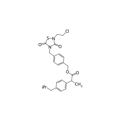 CC(C)Cc1ccc(C(C)C(=O)OCc2ccc(Cn3c(=O)sn(CCCl)c3=O)cc2)cc1